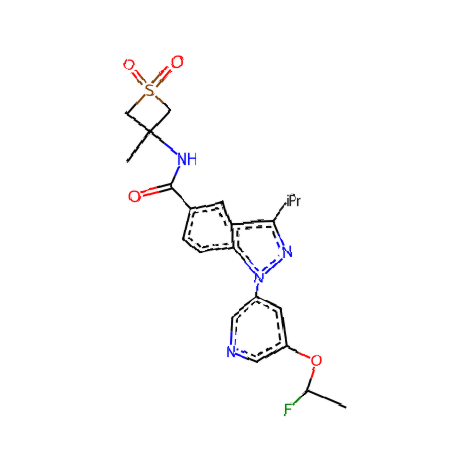 CC(F)Oc1cncc(-n2nc(C(C)C)c3cc(C(=O)NC4(C)CS(=O)(=O)C4)ccc32)c1